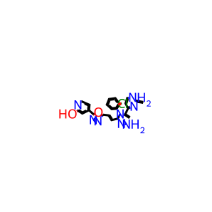 C=C/N=C(\C=C/N)C(=C)N(C(/C=C/c1nnc(-c2ccnc(O)c2)o1)=N\N)c1ccccc1Cl